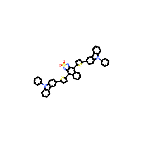 O=S1(=O)N=c2c(-c3ccc(-c4ccc5c(c4)c4ccccc4n5-c4ccccc4)s3)c3ccccc3c(-c3ccc(-c4ccc5c(c4)c4ccccc4n5-c4ccccc4)s3)c2=N1